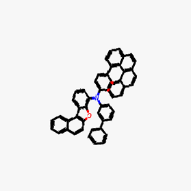 c1ccc(-c2cccc(N(c3ccc(-c4cccc5ccc6ccc7ccccc7c6c45)cc3)c3cccc4c3oc3ccc5ccccc5c34)c2)cc1